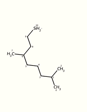 CC(C)CCCC(C)CC[SiH2]